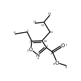 CCc1onc(C(=O)OC)c1CC(C)C